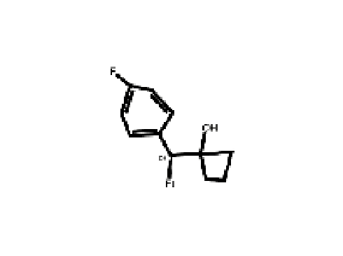 CC[C@@H](c1ccc(F)cc1)C1(O)CCC1